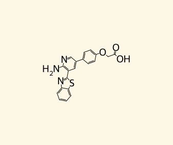 Nc1ncc(-c2ccc(OCC(=O)O)cc2)cc1-c1nc2ccccc2s1